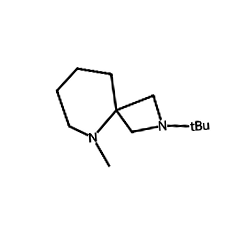 CN1CCCCC12CN(C(C)(C)C)C2